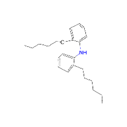 CCCCCCc1ccccc1Nc1ccccc1CCCCCC